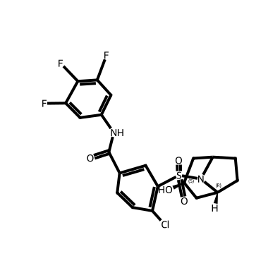 O=C(Nc1cc(F)c(F)c(F)c1)c1ccc(Cl)c(S(=O)(=O)N2C3CC[C@@H]2C[C@@H](O)C3)c1